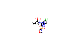 Cc1cc(C(C)C)cc(C(=O)O)c1Nc1cc(S(=O)(=O)C2COCCN2)nc2ccc(Cl)cc12